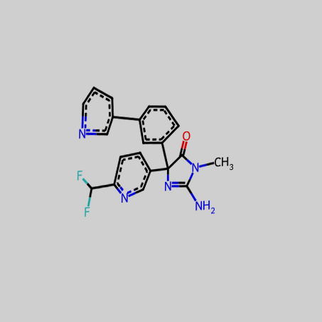 CN1C(=O)C(c2ccc(C(F)F)nc2)(c2cccc(-c3cccnc3)c2)N=C1N